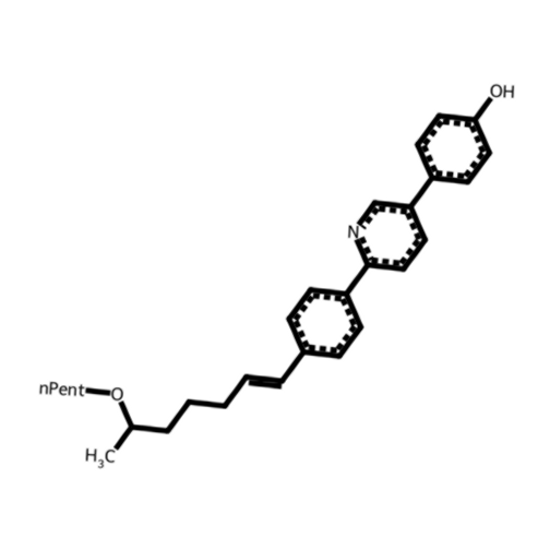 CCCCCOC(C)CCCC=Cc1ccc(-c2ccc(-c3ccc(O)cc3)cn2)cc1